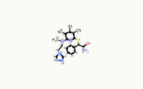 CCc1c(C#N)c(SC(C(N)=O)c2ccccc2)nc(N(C)CCn2cnnc2)c1C#N